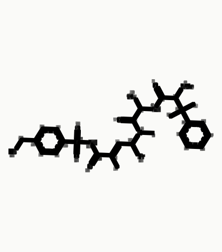 CNC(C(=O)NC(C(=O)N(C)C(C=C(C)C(=O)NS(=O)(=O)c1ccc(CS)cc1)C(C)C)C(C)(C)C)C(C)(C)c1ccccc1